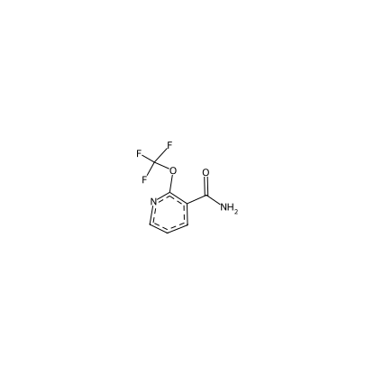 NC(=O)c1cccnc1OC(F)(F)F